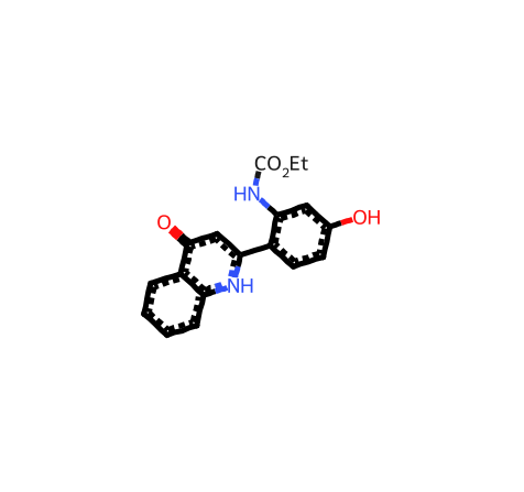 CCOC(=O)Nc1cc(O)ccc1-c1cc(=O)c2ccccc2[nH]1